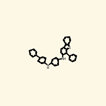 c1ccc(-c2ccc(Nc3ccc(Nc4ccc5c(sc6ccccc65)c4-c4ccccc4)cc3)cc2)cc1